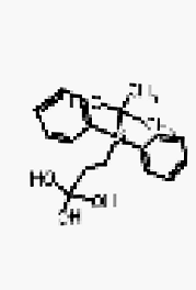 CC(C)(C)[Si](CCC(O)(O)O)(c1ccccc1)c1ccccc1